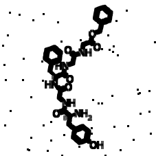 N[C@@H](Cc1ccc(O)cc1)C(=O)NCC(=O)N[C@@H](Cc1ccccc1)C(=O)NCC(=O)NCC(=O)OCc1ccccc1